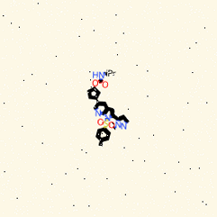 Cc1ccc(S(=O)(=O)n2c(-c3ccnn3C)cc3cc([C@H]4CC[C@@H](OC(=O)NC(C)C)C4)cnc32)cc1